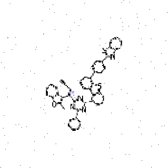 C#C/C=C(/c1nc(-c2ccccc2)nc(-c2cccc3sc4c(-c5ccc(-c6nc7ccccc7s6)cc5)cccc4c23)n1)c1c(C)oc2ccccc12